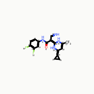 N=C/C(C(=O)Nc1ccc(F)c(F)c1)=C1\NC(C(F)(F)F)=CC(=C2CC2)N1